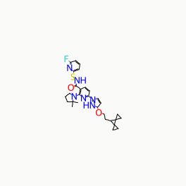 CC1(C)CCCN1c1nc(N2C=CC(OCCC3C4(CC4)C34CC4)N2)ccc1C(=O)NSc1cccc(F)n1